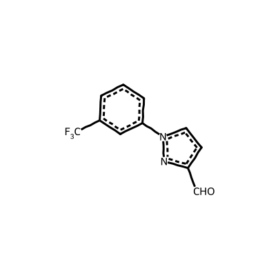 O=Cc1ccn(-c2cccc(C(F)(F)F)c2)n1